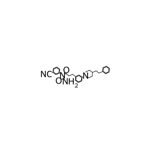 N#Cc1cccc(N(C(N)=O)C(=O)CCc2cccc(N3CCC(CCc4ccccc4)CC3)c2)c1